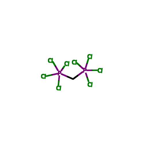 ClP(Cl)(Cl)(Cl)CP(Cl)(Cl)(Cl)Cl